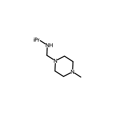 CC(C)NCN1CCN(C)CC1